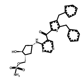 NS(=O)(=O)OC[C@H]1C[C@@H](Nc2ncncc2C(=O)c2cc(Cc3ccccc3)c(Cc3ccccc3)s2)C[C@@H]1O